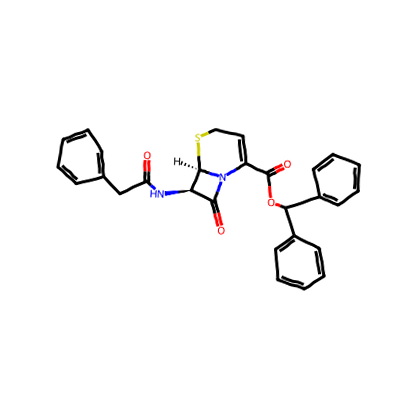 O=C(Cc1ccccc1)N[C@@H]1C(=O)N2C(C(=O)OC(c3ccccc3)c3ccccc3)=CCS[C@H]12